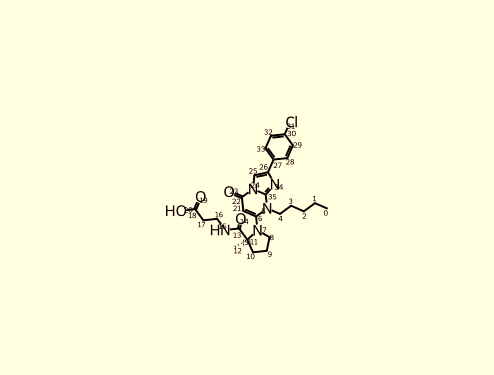 CCCCCn1c(N2CCC[C@@]2(C)C(=O)NCCC(=O)O)cc(=O)n2cc(-c3ccc(Cl)cc3)nc12